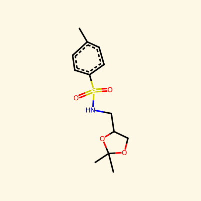 Cc1ccc(S(=O)(=O)NCC2COC(C)(C)O2)cc1